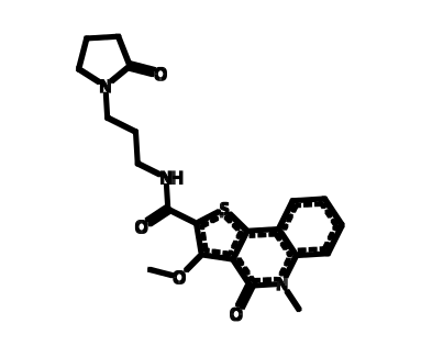 COc1c(C(=O)NCCCN2CCCC2=O)sc2c1c(=O)n(C)c1ccccc21